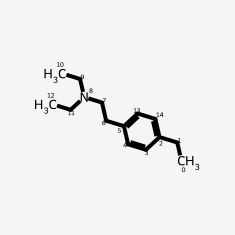 CCc1ccc(CCN(CC)CC)cc1